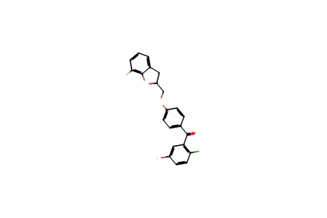 O=C(c1ccc(OCC2Cc3cccc(F)c3O2)cc1)c1cc(Br)ccc1Cl